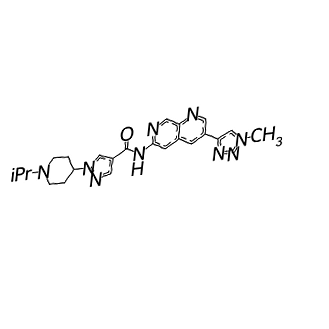 CC(C)N1CCC(n2cc(C(=O)Nc3cc4cc(-c5cn(C)nn5)cnc4cn3)cn2)CC1